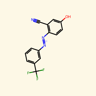 N#Cc1cc(O)ccc1/N=N/c1cccc(C(F)(F)F)c1